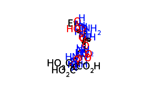 CCC(=O)NCCNC(=O)/N=C(/N)NCCCC(NC(=O)[C@H](c1ccccc1)c1cccc(OCCCCNc2c(NCCNC(=O)C(CCCCN)NC(=O)CN3CCN(CC(=O)O)CCN(CC(=O)O)CCN(CC(=O)O)CC3)c(=O)c2=O)c1)C(=O)NCc1ccc(O)cc1